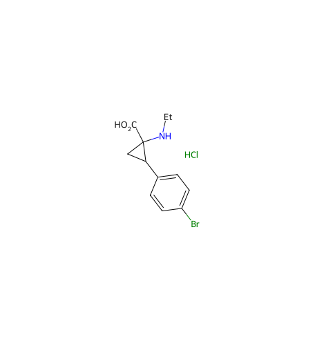 CCNC1(C(=O)O)CC1c1ccc(Br)cc1.Cl